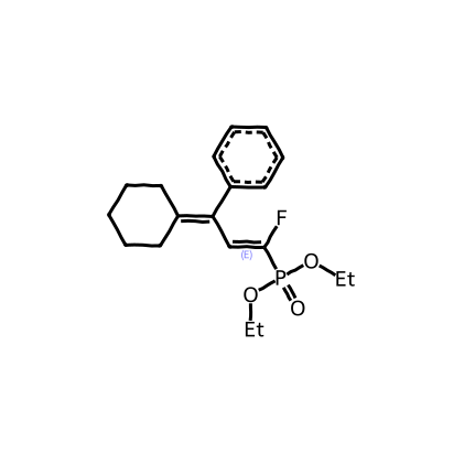 CCOP(=O)(OCC)/C(F)=C/C(=C1CCCCC1)c1ccccc1